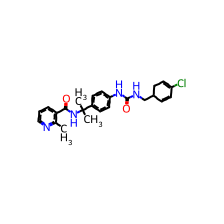 Cc1ncccc1C(=O)NC(C)(C)c1ccc(NC(=O)NCC2C=CC(Cl)=CC2)cc1